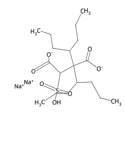 CCCC(CCC)C(C(=O)[O-])(C(CCC)CCC)C(C(=O)[O-])S(=O)(=O)O.[Na+].[Na+]